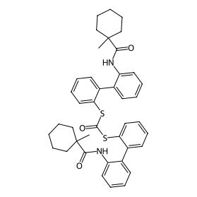 CC1(C(=O)Nc2ccccc2-c2ccccc2SC(=O)Sc2ccccc2-c2ccccc2NC(=O)C2(C)CCCCC2)CCCCC1